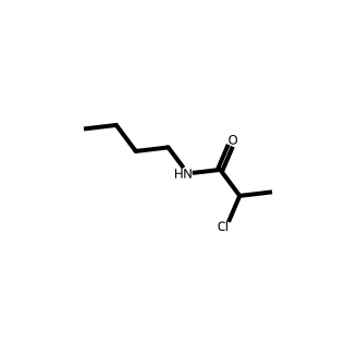 CCCCNC(=O)C(C)Cl